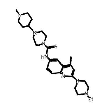 CCN1CCN(c2cc(C)c3cc(NC(=S)N4CCN(C5CCN(C)CC5)CC4)ccc3n2)CC1